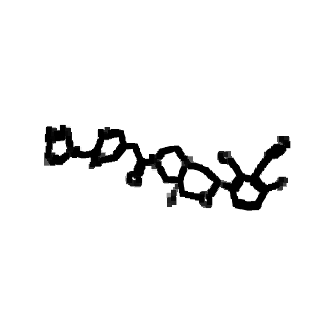 N#Cc1c(F)ccc([C@@H]2CN3CCN(C(=O)Cc4cnc(-n5cnnn5)nc4)C[C@@H]3CO2)c1Cl